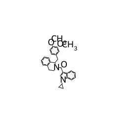 COc1ccc(CC2c3ccccc3CCN2C(=O)c2cn(C3CC3)c3ccccc23)cc1OC